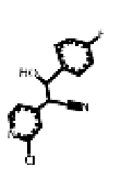 N#CC(c1ccnc(Cl)c1)C(O)c1ccc(F)cc1